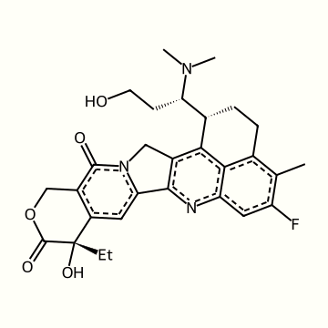 CC[C@@]1(O)C(=O)OCc2c1cc1n(c2=O)Cc2c-1nc1cc(F)c(C)c3c1c2[C@H]([C@H](CCO)N(C)C)CC3